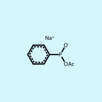 CC(=O)OP([O-])c1ccccc1.[Na+]